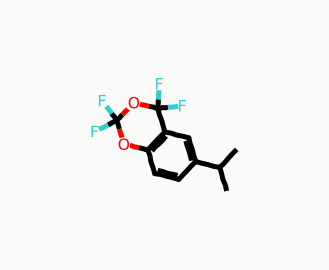 CC(C)c1ccc2c(c1)C(F)(F)OC(F)(F)O2